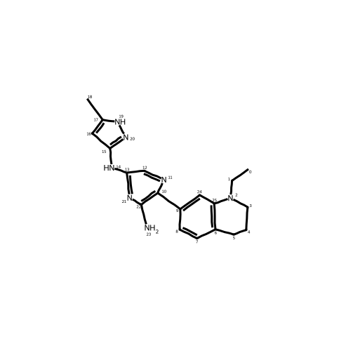 CCN1CCCc2ccc(-c3ncc(Nc4cc(C)[nH]n4)nc3N)cc21